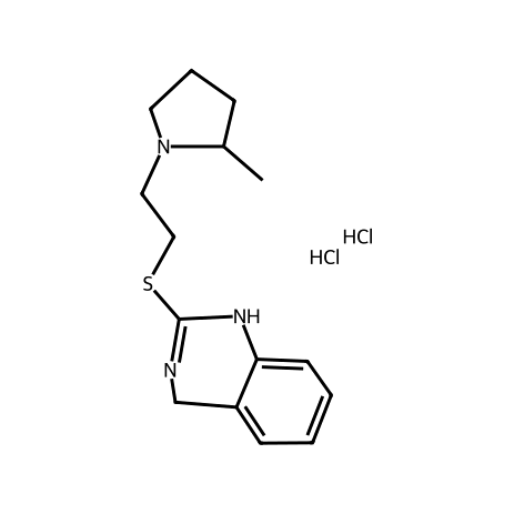 CC1CCCN1CCSC1=NCc2ccccc2N1.Cl.Cl